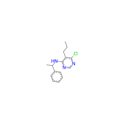 CCCc1c(Cl)ncnc1NC(C)c1ccccc1